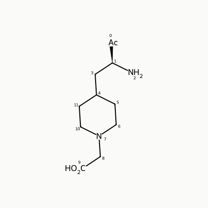 CC(=O)[C@@H](N)CC1CCN(CC(=O)O)CC1